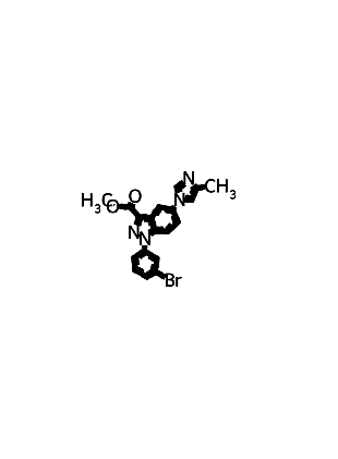 COC(=O)c1nn(-c2cccc(Br)c2)c2ccc(-n3cnc(C)c3)cc12